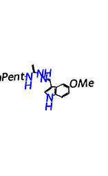 C=C(NCCCCC)N/N=C/c1c[nH]c2ccc(OC)cc12